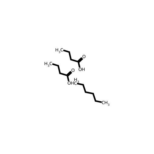 CCCC(=O)O.CCCC(=O)O.CCCCCC